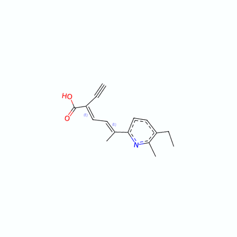 C#C/C(=C\C=C(/C)c1ccc(CC)c(C)n1)C(=O)O